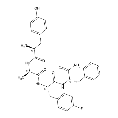 C[C@@H](NC(=O)[C@@H](N)Cc1ccc(O)cc1)C(=O)N[C@@H](Cc1ccc(F)cc1)C(=O)N[C@@H](Cc1ccccc1)C(N)=O